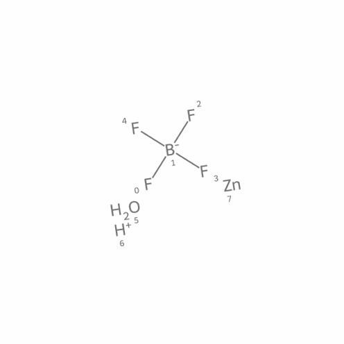 F[B-](F)(F)F.O.[H+].[Zn]